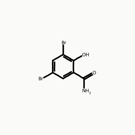 NC(=O)c1cc(Br)cc(Br)c1O